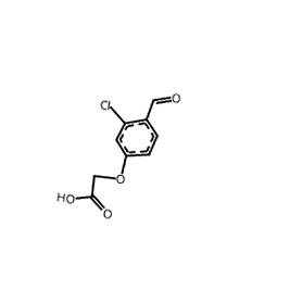 O=Cc1ccc(OCC(=O)O)cc1Cl